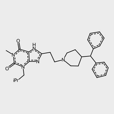 CC(C)Cn1c(=O)n(C)c(=O)c2[nH]c(CCN3CCC(C(c4ccccc4)c4ccccc4)CC3)nc21